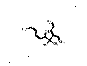 C=C/C=C(\C=C)C(C)(O)C(=C)/C=C\C=C/C